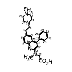 CN1CCN(CCc2ccc3nc(N(C)CC(=O)O)cc(-c4ccccc4)c3c2)CC1